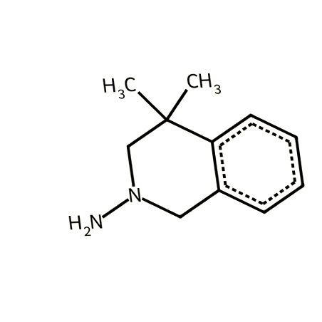 CC1(C)CN(N)Cc2ccccc21